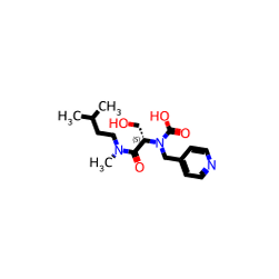 CC(C)CCN(C)C(=O)[C@H](CO)N(Cc1ccncc1)C(=O)O